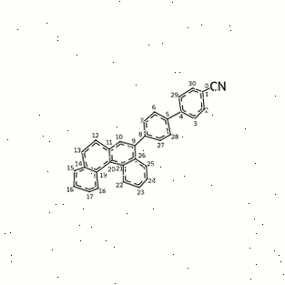 N#Cc1ccc(-c2ccc(-c3cc4ccc5ccccc5c4c4ccccc34)cc2)cc1